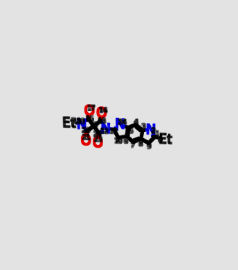 CCC1=Nc2cc3c(cc2C1)CC(N1C(=O)C2(C(=O)N(CC)C2=O)C1=O)=N3